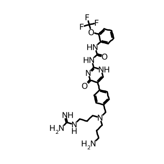 N=C(N)NCCCN(CCCN)Cc1ccc(-c2c[nH]c(NC(=O)Nc3ccccc3OC(F)(F)F)nc2=O)cc1